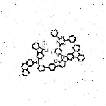 CC1(C)c2ccccc2-c2cc(N(c3cccc(-c4ccc5c(c4)oc4c5ccc5c6cc7c8ccccc8c8ccccc8c7cc6n(-c6cc(-c7nc(-c8ccccc8)nc(-c8ccccc8)n7)ccn6)c54)c3)c3ccc4ccc5ccccc5c4c3)ccc21